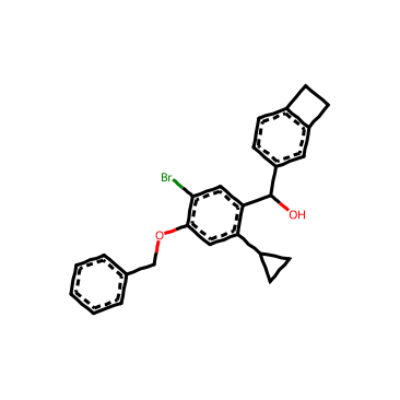 OC(c1ccc2c(c1)CC2)c1cc(Br)c(OCc2ccccc2)cc1C1CC1